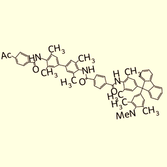 CNc1c(C)cc(C2(c3cc(C)c(NC(=O)c4ccc(C(=O)Nc5c(C)cc(-c6cc(C)c(NC(=O)c7ccc(C(C)=O)cc7)c(C)c6)cc5C)cc4)c(C)c3)c3ccccc3-c3ccccc32)cc1C